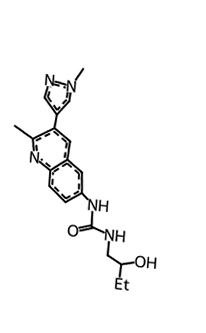 CCC(O)CNC(=O)Nc1ccc2nc(C)c(-c3cnn(C)c3)cc2c1